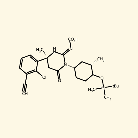 C#Cc1cccc([C@]2(C)CC(=O)N([C@H]3CCC(O[Si](C)(C)C(C)(C)C)[C@@H](C)C3)/C(=N/C(=O)O)N2)c1Cl